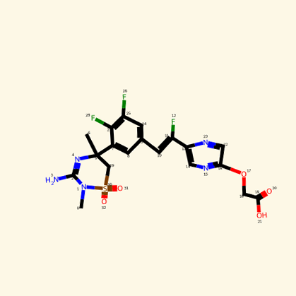 CN1C(N)=NC(C)(c2cc(/C=C(\F)c3cnc(OCC(=O)O)cn3)cc(F)c2F)CS1(=O)=O